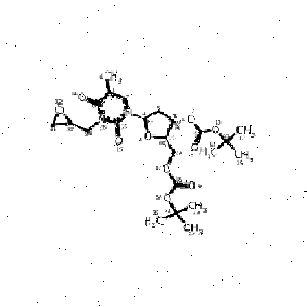 Cc1cn([C@H]2C[C@H](OC(=O)OC(C)(C)C)[C@@H](COC(=O)OC(C)(C)C)O2)c(=O)n(CC2CO2)c1=O